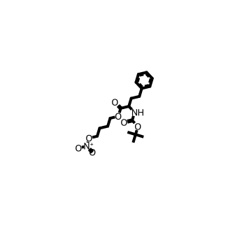 CC(C)(C)OC(=O)NC(CCc1ccccc1)C(=O)OCCCCO[N+](=O)[O-]